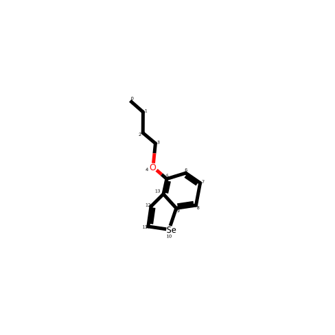 CCCCOc1cccc2[se]ccc12